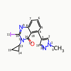 Cn1cc(-c2cccc3nc(I)n(C4CC4)c(=O)c23)cn1